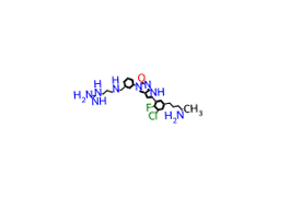 C[C@H](N)CCCc1cc(Cl)c(F)c(-c2cc3cn(-c4cccc(CNCCCNC(=N)N)c4)c(=O)nc3[nH]2)c1